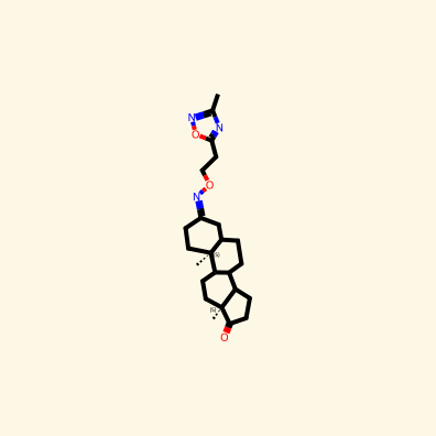 Cc1noc(CCON=C2CC[C@@]3(C)C(CCC4C3CC[C@]3(C)C(=O)CCC43)C2)n1